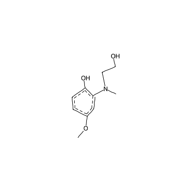 COc1ccc(O)c(N(C)CCO)c1